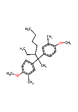 CCCCC(CC)C(C)(c1ccc(OC)c(C)c1)c1ccc(OC)c(C)c1